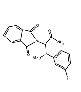 CO[C@@H](c1cccc(I)c1)C(C(N)=O)N1C(=O)c2ccccc2C1=O